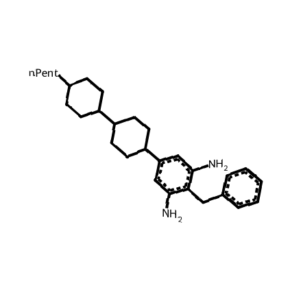 CCCCCC1CCC(C2CCC(c3cc(N)c(Cc4ccccc4)c(N)c3)CC2)CC1